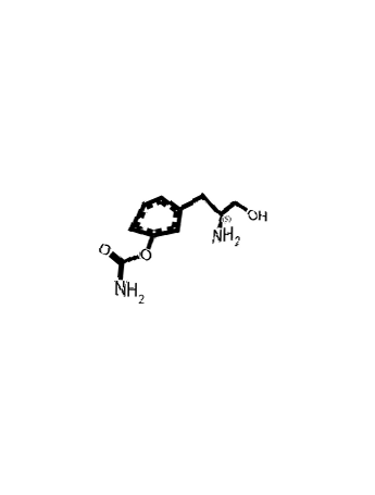 NC(=O)Oc1cccc(C[C@H](N)CO)c1